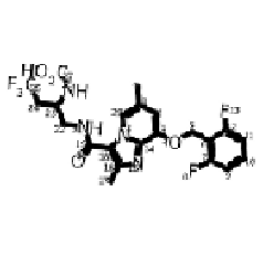 Cc1cc(OCc2c(F)cccc2F)c2nc(C)c(C(=O)NCC(CC(F)(F)F)NC(=O)O)n2c1